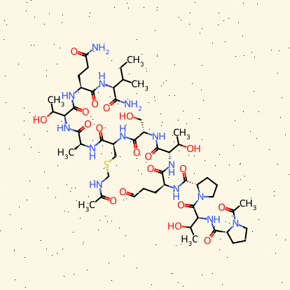 CCC(C)[C@H](NC(=O)[C@H](CCC(N)=O)NC(=O)[C@@H](NC(=O)[C@H](C)NC(=O)[C@H](CSCNC(C)=O)NC(=O)[C@H](CO)NC(=O)[C@@H](NC(=O)[C@H](CCC=O)NC(=O)[C@@H]1CCCN1C(=O)[C@@H](NC(=O)[C@@H]1CCCN1C(C)=O)C(C)O)C(C)O)C(C)O)C(N)=O